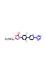 CC(=O)NC[C@H]1CN(c2cc(F)c(-c3ccc(-n4cncn4)nc3)c(F)c2)C(=O)O1